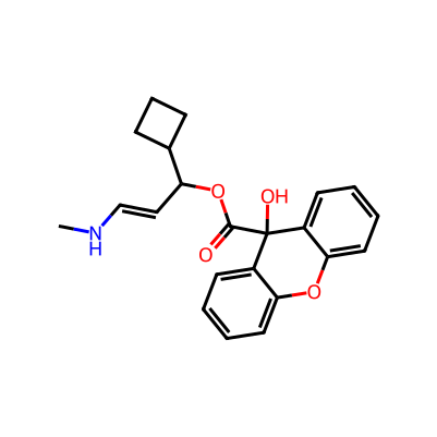 CN/C=C/C(OC(=O)C1(O)c2ccccc2Oc2ccccc21)C1CCC1